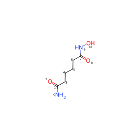 NC(=O)CCCCC(=O)NO